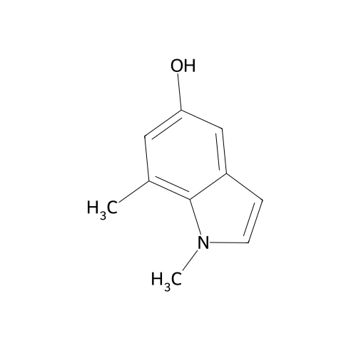 Cc1cc(O)cc2ccn(C)c12